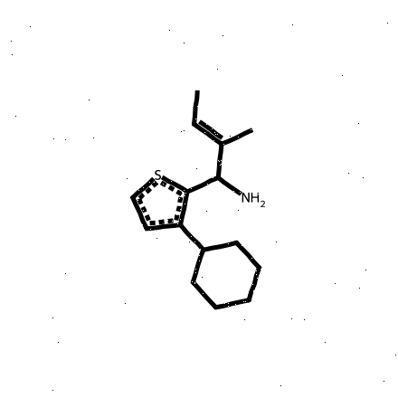 CC=C(C)C(N)c1sccc1C1CCCCC1